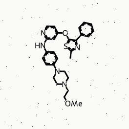 COCCN1CCN(c2ccc(Nc3cc(Oc4sc(C)nc4-c4ccccc4)ccn3)cc2)CC1